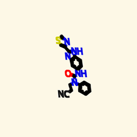 N#CCCN(C(=O)Nc1ccc2[nH]c(-c3cscn3)nc2c1)c1ccccc1